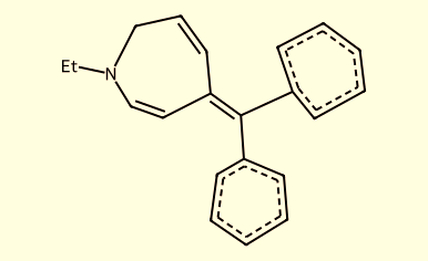 CCN1C=CC(=C(c2ccccc2)c2ccccc2)C=CC1